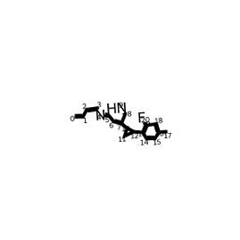 C=C\C=C/N=C/C=C(\C=N)C1CC1c1ccc(C)cc1F